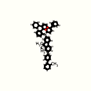 CC1CC=CC=C1c1ccc(-c2ccc3c(c2)C(C)(C)c2cc(N(c4ccc(C5CC6CCC5C6)cc4)c4ccccc4-c4ccccc4C4CCCCC4)ccc2-3)cc1